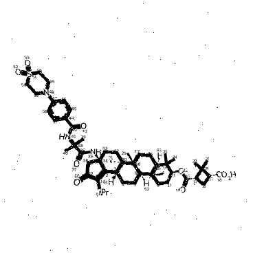 CC(C)C1=C2[C@H]3CC[C@@H]4[C@@]5(C)CC[C@H](OC(=O)[C@H]6C[C@@H](C(=O)O)C6(C)C)C(C)(C)[C@@H]5CC[C@@]4(C)[C@]3(C)CC[C@@]2(NC(=O)C(C)(C)NC(=O)c2ccc(N3CCS(=O)(=O)CC3)cc2)CC1=O